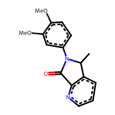 COc1ccc(N2C(=O)c3ncccc3C2C)cc1OC